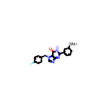 COc1cccc(-c2nc3ncn(Cc4ccc(F)cc4)c3c(=O)[nH]2)c1